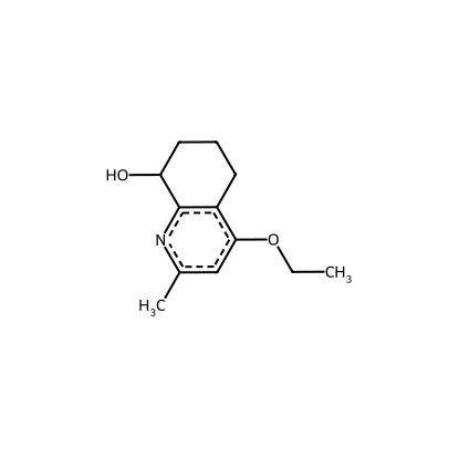 CCOc1cc(C)nc2c1CCCC2O